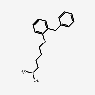 CN(C)CCCCOc1ccccc1Cc1ccccc1